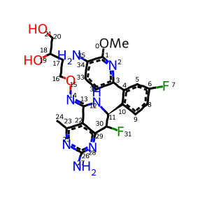 COc1nc(-c2cc(F)ccc2[C@@H]2N/C(=N\OCCC(O)CO)c3c(C)nc(N)nc3C2F)ccc1N